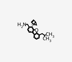 CC(C)Cc1cccc2c1oc1c([C@]34C=CC3C4)c(CN)ccc12